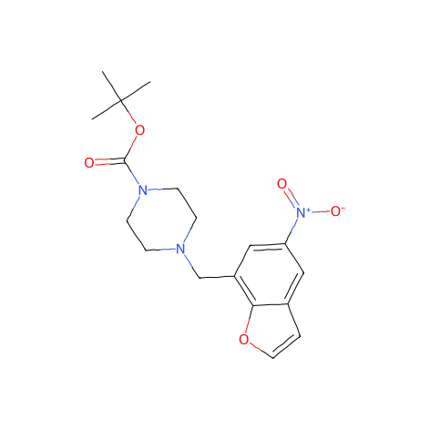 CC(C)(C)OC(=O)N1CCN(Cc2cc([N+](=O)[O-])cc3ccoc23)CC1